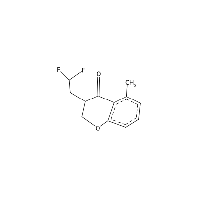 Cc1cccc2c1C(=O)C(CC(F)F)CO2